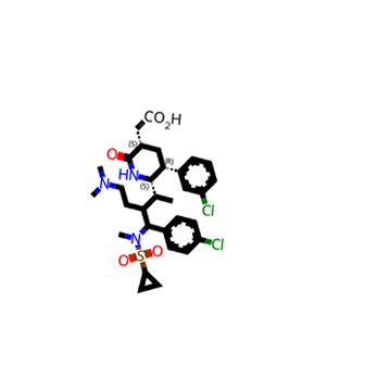 CC(C(CCN(C)C)C(c1ccc(Cl)cc1)N(C)S(=O)(=O)C1CC1)[C@@H]1NC(=O)[C@H](CC(=O)O)C[C@@H]1c1cccc(Cl)c1